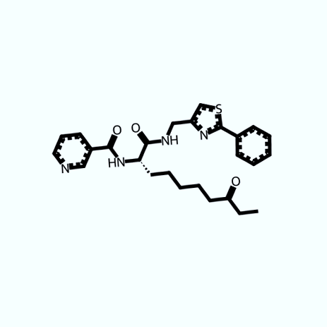 CCC(=O)CCCCC[C@H](NC(=O)c1cccnc1)C(=O)NCc1csc(-c2ccccc2)n1